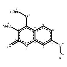 CCCCCCCCCCOc1c(OC)c(=O)oc2cc(OC(C)C)ccc12